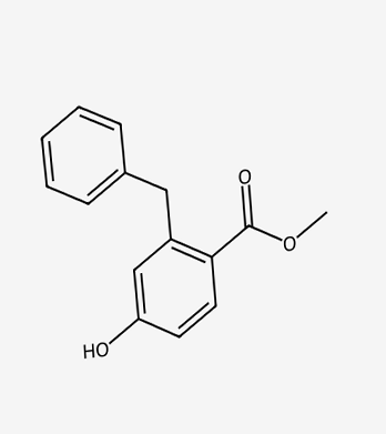 COC(=O)c1ccc(O)cc1Cc1ccccc1